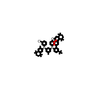 Cc1cc(N(c2cccc(Cl)c2)c2cc3c(cc2C)C(C)(C)CCC3(C)C)cc(N(c2ccc3oc4cc5c(cc4c3c2)C(C)(C)CCC5(C)C)c2ccc(C(C)(C)C)cc2-c2ccccc2)c1